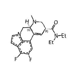 CCN(CC)C(=O)[C@@H]1C=C2c3cc(F)c(F)c4ccn(c34)C[C@H]2N(C)C1